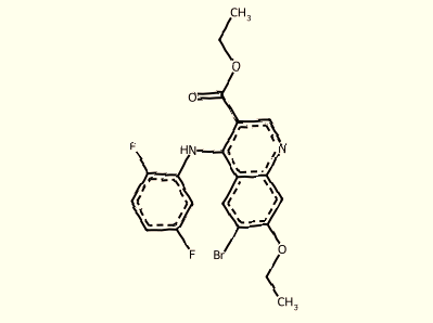 CCOC(=O)c1cnc2cc(OCC)c(Br)cc2c1Nc1cc(F)ccc1F